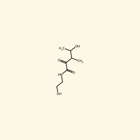 CC(O)C(C)C(=O)C(=O)NCCO